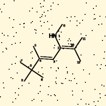 CNC(/C=C(\C)C(C)(C)C)=C(C)C